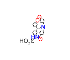 O=C(O)CCNC(=O)c1ccc(CN(CCC(c2ccccc2)c2ccccc2)Cc2ccc3c(c2)OCO3)cc1